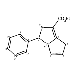 CCOC(=O)C1=C2CC=CN2C(c2cccnc2)S1